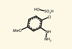 COc1ccc(Cl)c(NN)c1.O=S(=O)(O)O